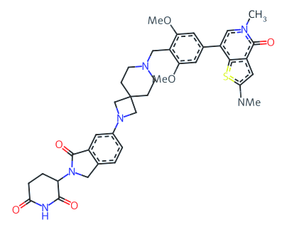 CNc1cc2c(=O)n(C)cc(-c3cc(OC)c(CN4CCC5(CC4)CN(c4ccc6c(c4)C(=O)N(C4CCC(=O)NC4=O)C6)C5)c(OC)c3)c2s1